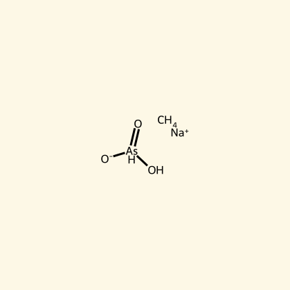 C.O=[AsH]([O-])O.[Na+]